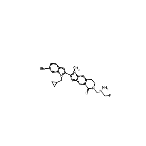 Cn1c(-c2cc3ccc(C(C)(C)C)cc3n2CC2CC2)nc2cc3c(cc21)CCN(C[C@H](N)CF)C3=O